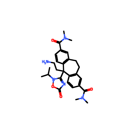 CC(C)n1oc(=O)nc1C1(CCN)c2ccc(C(=O)N(C)C)cc2CCc2cc(C(=O)N(C)C)ccc21